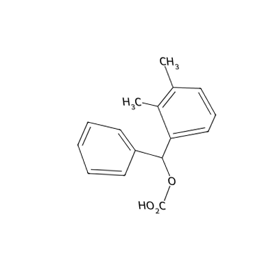 Cc1cccc(C(OC(=O)O)c2ccccc2)c1C